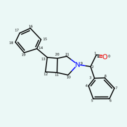 O=CC(c1ccccc1)N1CC2CC(c3ccccc3)C2C1